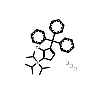 CC(C)[Si](C1=[C]([Ti+3])C(C(c2ccccc2)(c2ccccc2)c2ccccc2)=CC1)(C(C)C)C(C)C.[Cl-].[Cl-].[Cl-]